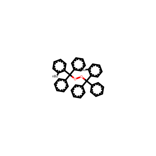 CCCCc1ccccc1C(OOC(c1ccccc1)(c1ccccc1)c1ccccc1CCCC)(c1ccccc1)c1ccccc1